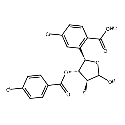 COC(=O)c1ccc(Cl)cc1[C@H]1OC(O)[C@@H](F)[C@@H]1OC(=O)c1ccc(Cl)cc1